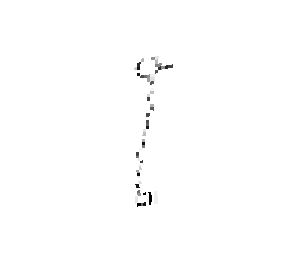 OCCCCCCCCCCCCc1ccccc1I